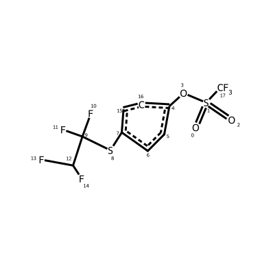 O=S(=O)(Oc1ccc(SC(F)(F)C(F)F)cc1)C(F)(F)F